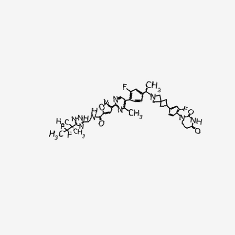 Cc1nc(-c2cc(C(=O)NCc3nc(C(C)(C)C(C)(F)F)n[nH]3)on2)ncc1-c1ccc(C(C)N2CC3(CC(c4ccc(N5CCC(=O)NC5=O)c(F)c4)C3)C2)cc1F